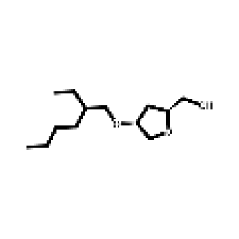 CCCCC(CC)CO[C@@H]1CO[C@H](CO)C1